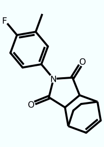 Cc1cc(N2C(=O)C3C4C=CC(CC4)C3C2=O)ccc1F